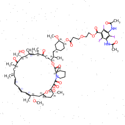 CO[C@H]1C[C@@H]2CC[C@@H](C)[C@@](O)(O2)C(=O)C(=O)N2CCCC[C@H]2C(=O)O[C@H]([C@H](C)C[C@@H]2CC[C@@H](OC(=O)CCOCCOC(=O)c3c(I)c(NC(C)=O)c(I)c(NC(C)=O)c3I)[C@H](OC)C2)CC(=O)[C@H](C)/C=C(\C)[C@@H](O)[C@@H](C)C(=O)[C@H](C)C[C@H](C)/C=C/C=C/C=C/1C